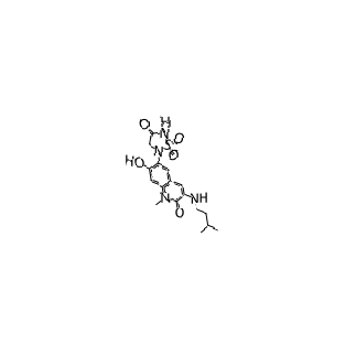 CC(C)CCNc1cc2cc(N3CC(=O)NS3(=O)=O)c(O)cc2n(C)c1=O